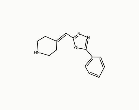 C(=C1CCNCC1)c1nnc(-c2ccccc2)o1